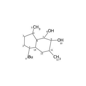 CCC(C)C1CCC(C)C2C(O)C(O)C(C)CC12